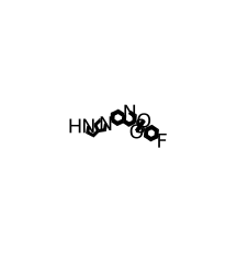 O=S(=O)(c1ccc(F)cc1)c1cnc2ccc(N3CC4CCNC4C3)cc2c1